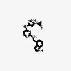 F[C@@H]1C[C@H]1c1cc(Nc2ccnc(NCc3cccc4[nH]ccc34)n2)n[nH]1